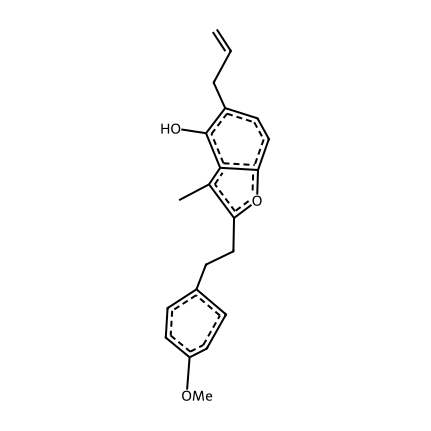 C=CCc1ccc2oc(CCc3ccc(OC)cc3)c(C)c2c1O